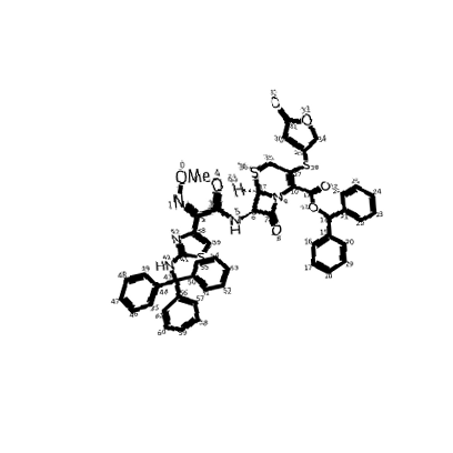 CO/N=C(\C(=O)N[C@@H]1C(=O)N2C(C(=O)OC(c3ccccc3)c3ccccc3)=C(SC3=CC(=O)OC3)CS[C@H]12)c1csc(NC(c2ccccc2)(c2ccccc2)c2ccccc2)n1